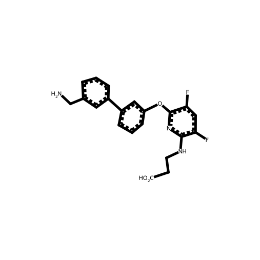 NCc1cccc(-c2cccc(Oc3nc(NCCC(=O)O)c(F)cc3F)c2)c1